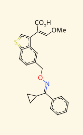 COC=C(C(=O)O)c1csc2ccc(CON=C(c3ccccc3)C3CC3)cc12